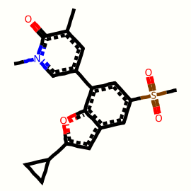 Cc1cc(-c2cc(S(C)(=O)=O)cc3cc(C4CC4)oc23)cn(C)c1=O